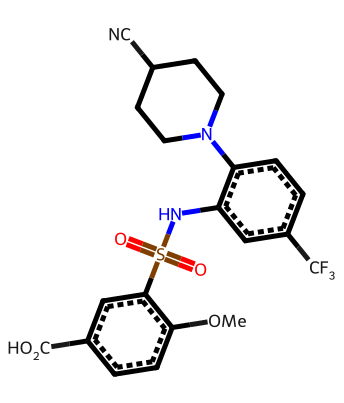 COc1ccc(C(=O)O)cc1S(=O)(=O)Nc1cc(C(F)(F)F)ccc1N1CCC(C#N)CC1